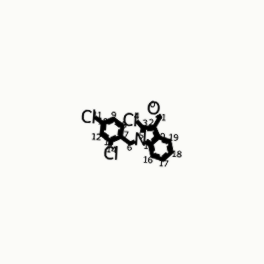 O=Cc1c(Cl)n(Cc2ccc(Cl)cc2Cl)c2ccccc12